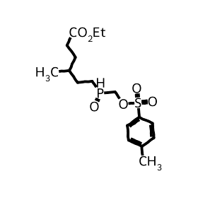 CCOC(=O)CCC(C)CC[PH](=O)COS(=O)(=O)c1ccc(C)cc1